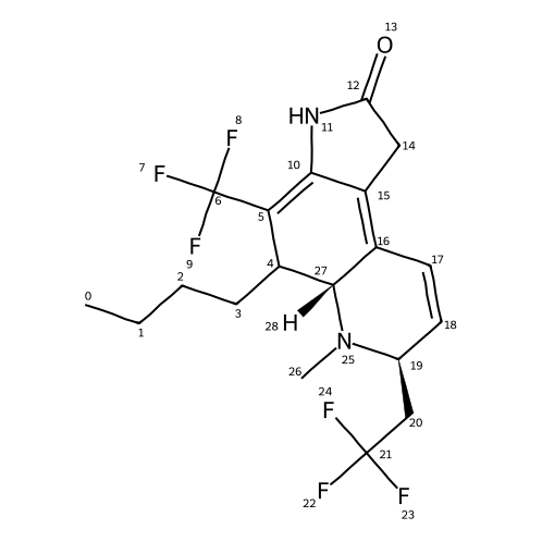 CCCCC1C(C(F)(F)F)=C2NC(=O)CC2=C2C=C[C@@H](CC(F)(F)F)N(C)[C@@H]21